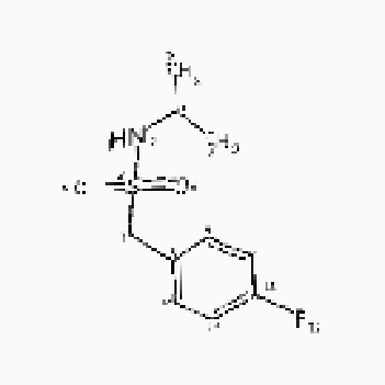 CC(C)NS(=O)(=O)Cc1ccc(F)cc1